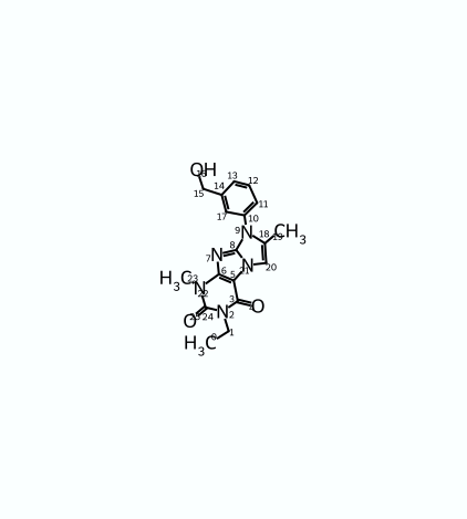 CCn1c(=O)c2c(nc3n(-c4cccc(CO)c4)c(C)cn23)n(C)c1=O